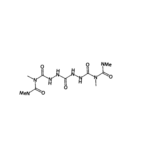 CNC(=O)N(C)C(=O)NNC(=O)NNC(=O)N(C)C(=O)NC